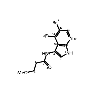 COCCC(=O)Nc1c[nH]c2ncc(Br)c(F)c12